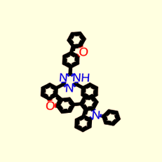 c1ccc(C2=NC(c3cccc4oc5ccc(-c6cccc7c6c6ccccc6n7-c6ccccc6)cc5c34)=NC(c3ccc4c(c3)oc3ccccc34)N2)cc1